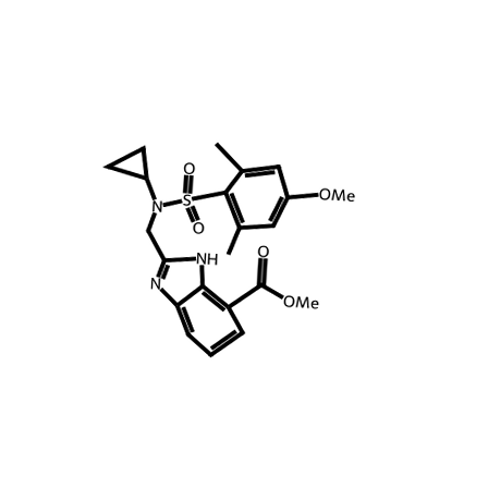 COC(=O)c1cccc2nc(CN(C3CC3)S(=O)(=O)c3c(C)cc(OC)cc3C)[nH]c12